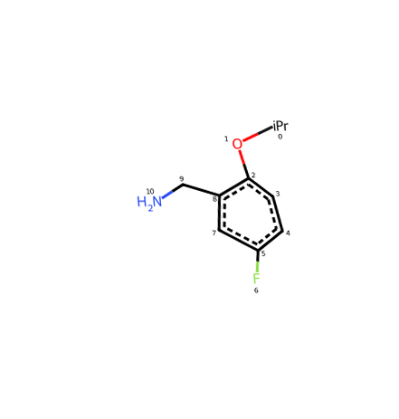 CC(C)Oc1ccc(F)cc1CN